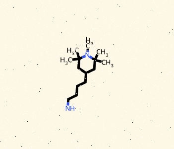 CN1C(C)(C)CC(CCCC[NH])CC1(C)C